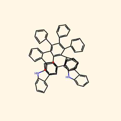 c1ccc(-c2c(-c3ccccc3)c(-c3ccccc3)c(-c3ccccc3-c3cccc4c3[nH]c3ccccc34)c(-c3ccccc3-c3cccc4c3[nH]c3ccccc34)c2-c2ccccc2)cc1